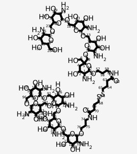 NC1C(O)CC(CO)(CO[C@@H]2OC(CO[C@@H]3OC(CO[C@@H]4OC(CO[C@@H]5OC(CO)[C@@H](O)C(O)C5N)[C@@H](O)C(O)C4N)[C@@H](O)C(O)C3N)[C@@H](O)C(O)C2N)O[C@H]1OCCCNC(=O)CCCSSCCCC(=O)NCCCO[C@@H]1OC(CO[C@@H]2OC(CO[C@@H]3OC(CO[C@@H]4OC(CO[C@@H]5OC(CO)[C@@H](O)C(O)C5N)[C@@H](O)C(O)C4N)[C@@H](O)C(O)C3N)[C@@H](O)C(O)C2N)[C@@H](O)C(O)[C@@H]1N